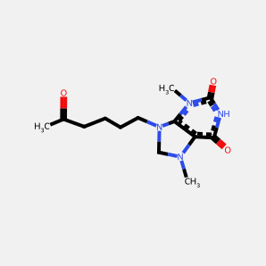 CC(=O)CCCCN1CN(C)c2c1n(C)c(=O)[nH]c2=O